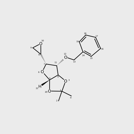 CC1(C)OC2[C@@H](O[C@H](C3CO3)[C@@H]2OCc2ccccc2)O1